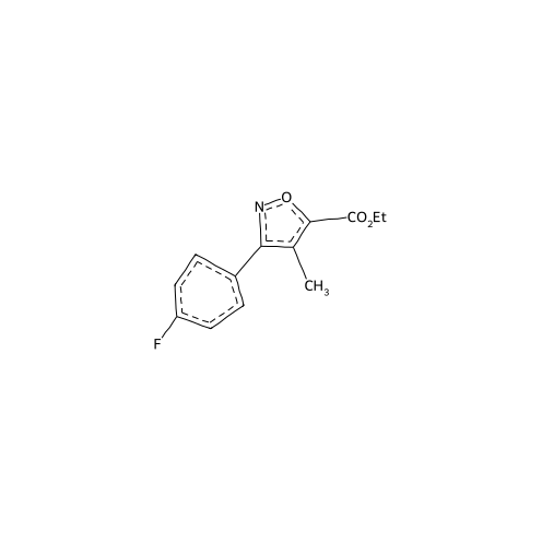 CCOC(=O)c1onc(-c2ccc(F)cc2)c1C